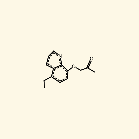 CCc1ccc(OCC(C)=O)c2ncccc12